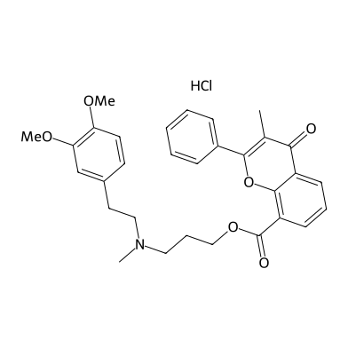 COc1ccc(CCN(C)CCCOC(=O)c2cccc3c(=O)c(C)c(-c4ccccc4)oc23)cc1OC.Cl